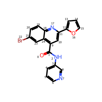 O=C(Nc1cccnc1)c1cc(-c2ccco2)nc2ccc(Br)cc12